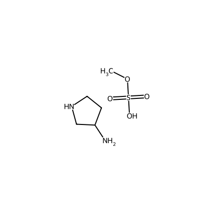 COS(=O)(=O)O.NC1CCNC1